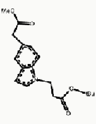 COC(=O)Cc1ccc2c(ccn2CCC(=O)OC(C)(C)C)c1